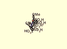 C=C(/C=C/C=C/C=C1/N(CCCCCC(=O)O)c2ccc3c(S(=O)(=O)O)cc(S(=O)(=O)O)cc3c2C1(C)CCCS(=O)(=O)O)C(C)(CCOCCOCCOC)c1c(C)ccc2c(S(=O)(=O)O)cc(S(=O)(=O)O)cc12